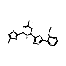 COc1ccccc1-c1nnc([C@H](CC(N)=O)NCc2nc(C)cs2)o1